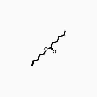 C=CCCCOC(=O)CCCCC